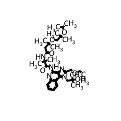 CCOCc1nc2c(NC(=O)C(C)(C)NC(=O)CC(C)(C)OCC(C)(C)OC(C)C)nc3ccccc3c2n1CC(C)(C)O